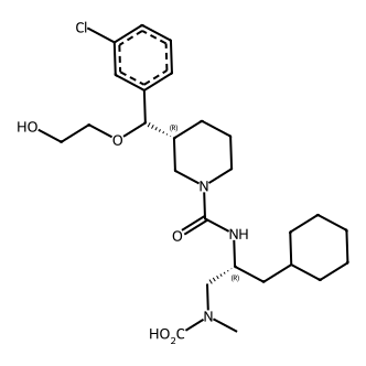 CN(C[C@@H](CC1CCCCC1)NC(=O)N1CCC[C@@H](C(OCCO)c2cccc(Cl)c2)C1)C(=O)O